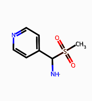 CS(=O)(=O)C([NH])c1ccncc1